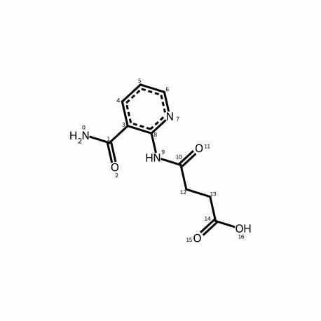 NC(=O)c1cccnc1NC(=O)CCC(=O)O